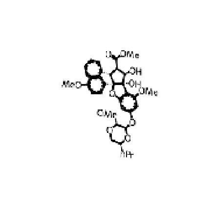 CCC[C@H]1CO[C@@H](OC)C(Oc2cc(OC)c3c(c2)O[C@@]2(c4ccc(OC)cc4)[C@H](c4ccccc4)[C@@H](C(=O)OC)[C@@H](O)[C@@]32O)O1